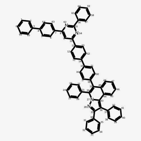 c1ccc(-c2ccc(-c3cc(-c4ccc(-c5ccc(-c6c(-c7ccccc7)n7nc(-c8ccccc8)c(-c8ccccc8)c7c7ccccc67)cc5)cc4)nc(-c4ccccc4)n3)cc2)cc1